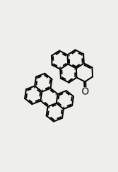 O=C1CC=c2ccc3cccc4ccc1c2c43.c1cc2cccc3c4cccc5cccc(c(c1)c23)c54